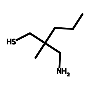 CCCC(C)(CN)CS